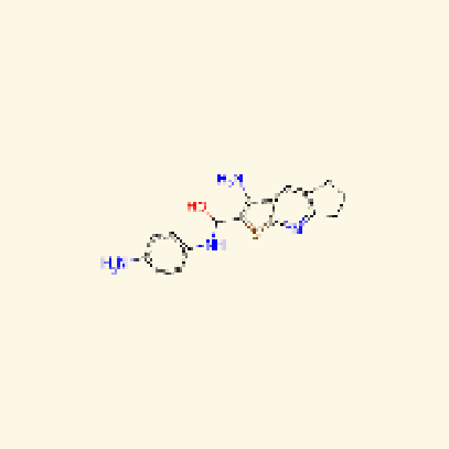 Nc1ccc(NC(O)c2sc3nc4c(cc3c2N)CCC4)cc1